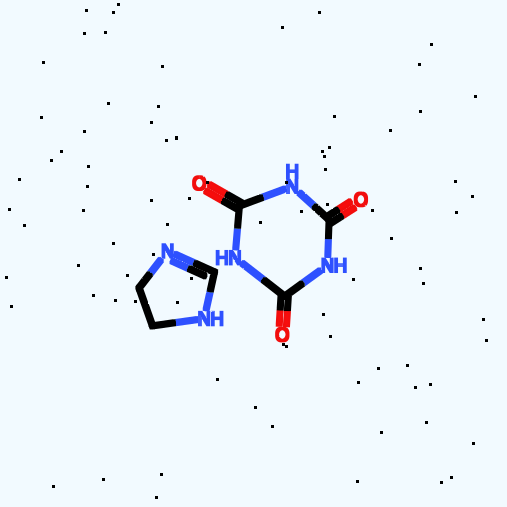 C1=NCCN1.O=c1[nH]c(=O)[nH]c(=O)[nH]1